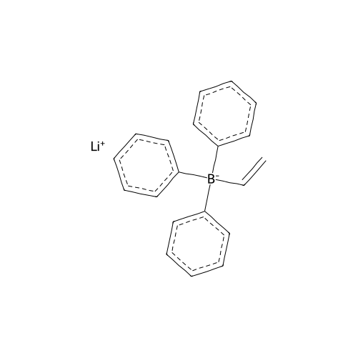 C=C[B-](c1ccccc1)(c1ccccc1)c1ccccc1.[Li+]